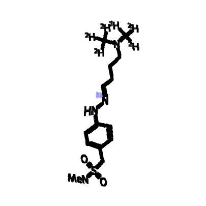 [2H]C([2H])([2H])N(CCC/C=N/Nc1ccc(CS(=O)(=O)NC)cc1)C([2H])([2H])[2H]